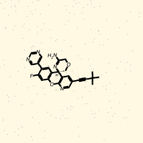 CC(C)(C)C#Cc1cnc2c(c1)[C@@]1(COCC(N)=N1)c1cc(-c3cncnc3)c(F)cc1O2